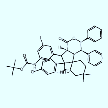 CC1(C)CCC2(CC1)N1[C@H](c3ccccc3)[C@H](c3ccccc3)OC(=O)[C@H]1[C@H](c1cc(I)cc(NC(=O)OC(C)(C)C)c1)C21C(=O)Nc2cc(Cl)ccc21